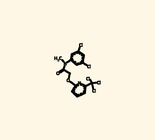 CN(C(=O)COc1cccc(C(Cl)(Cl)Cl)n1)c1cc(Cl)cc(Cl)c1